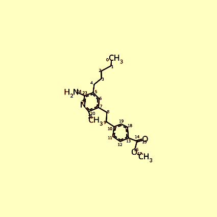 CCCCCc1cc(CCc2ccc(C(=O)OC)cc2)c(C)nc1N